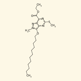 CCCCCCCCCCCCOc1c2nc(SC)nc(C(=O)OCC)c2nn1C